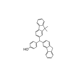 CC1(C)c2ccccc2-c2ccc(C(c3ccc(O)cc3)c3ccc4c(c3)-c3ccccc3C4)cc21